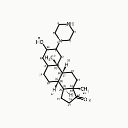 C[C@]12CC(N3CCNCC3)C(O)CC1CC[C@@H]1[C@H]2CC[C@]2(C)C(=O)CC[C@@H]12